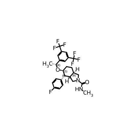 CNC(=O)N1C[C@@H]2CC[C@H](O[C@H](C)c3cc(C(F)(F)F)cc(C(F)(F)F)c3)[C@@H](c3ccc(F)cc3)[C@@H]2C1